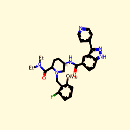 CCN(CC)C(=O)C1CC[C@@H](NC(=O)c2ccc3[nH]nc(-c4ccncc4)c3c2)CN1Cc1c(F)cccc1OC